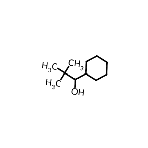 CC(C)(C)C(O)C1CCCCC1